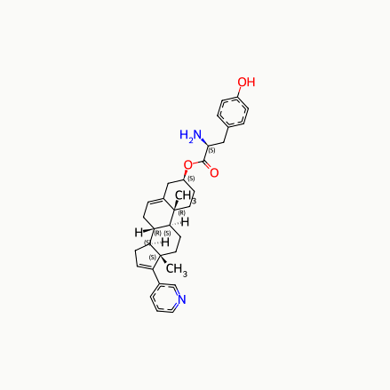 C[C@]12CC[C@H](OC(=O)[C@@H](N)Cc3ccc(O)cc3)CC1=CC[C@@H]1[C@@H]2CC[C@]2(C)C(c3cccnc3)=CC[C@@H]12